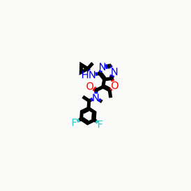 Cc1oc2ncnc(NC3(C)CC3)c2c1C(=O)N(C)C(C)c1cc(F)cc(F)c1